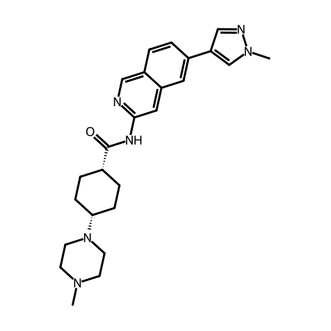 CN1CCN([C@H]2CC[C@@H](C(=O)Nc3cc4cc(-c5cnn(C)c5)ccc4cn3)CC2)CC1